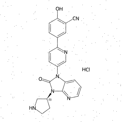 Cl.N#Cc1cc(-c2ccc(-n3c(=O)n([C@H]4CCNC4)c4ncccc43)cn2)ccc1O